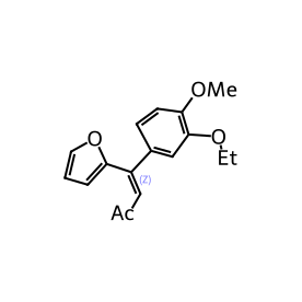 CCOc1cc(/C(=C/C(C)=O)c2ccco2)ccc1OC